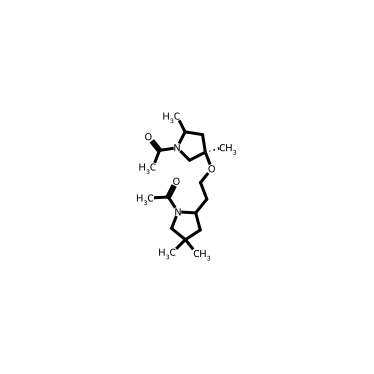 CC(=O)N1C[C@](C)(OCCC2CC(C)(C)CN2C(C)=O)CC1C